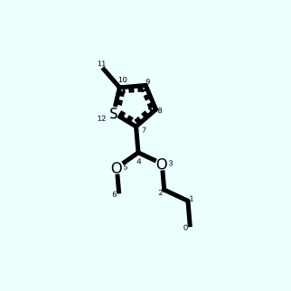 CCCOC(OC)c1ccc(C)s1